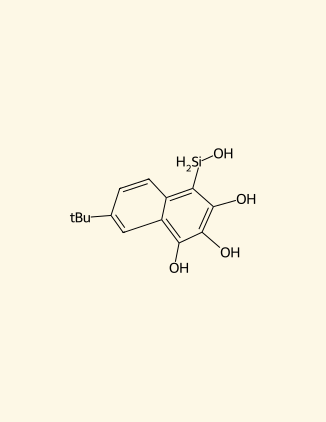 CC(C)(C)c1ccc2c([SiH2]O)c(O)c(O)c(O)c2c1